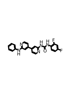 O=C(Nc1cc(-c2ccnc(Nc3ccccc3)c2)ccn1)Nc1ccc(F)cc1F